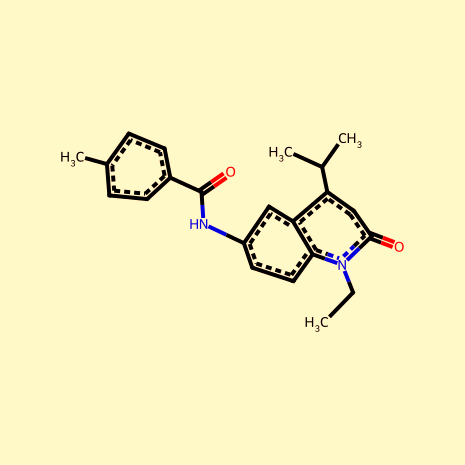 CCn1c(=O)cc(C(C)C)c2cc(NC(=O)c3ccc(C)cc3)ccc21